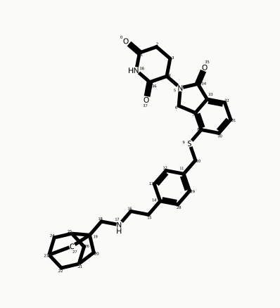 O=C1CCC(N2Cc3c(SCc4ccc(CCNCC56CC7CC(CC5C7)C6)cc4)cccc3C2=O)C(=O)N1